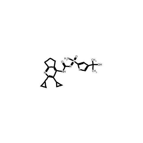 CC(C)(O)c1csc(S(N)(=O)=NC(=O)Nc2c3c(nc(C4CC4)c2C2CC2)CCC3)c1